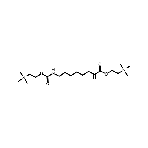 C[N+](C)(C)CCOC(=O)NCCCCCCNC(=O)OCC[N+](C)(C)C